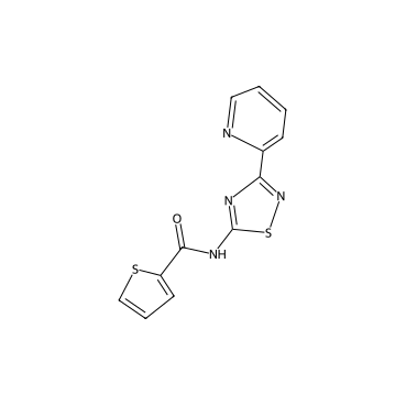 O=C(Nc1nc(-c2ccccn2)ns1)c1cccs1